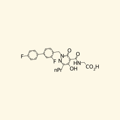 CCCc1nn(Cc2ccc(-c3ccc(F)cc3)cc2F)c(=O)c(C(=O)NCC(=O)O)c1O